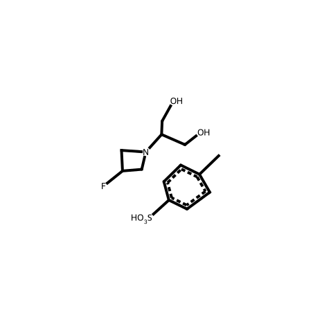 Cc1ccc(S(=O)(=O)O)cc1.OCC(CO)N1CC(F)C1